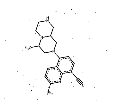 Bc1ccc2c(N3CC(C)N4CCNCC4C3)ccc(C#N)c2n1